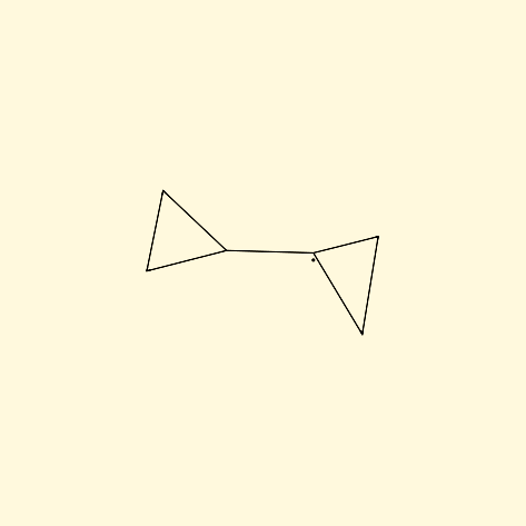 C1C[C]1C1CC1